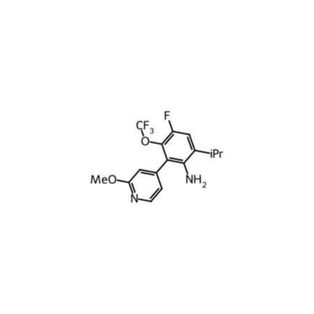 COc1cc(-c2c(N)c(C(C)C)cc(F)c2OC(F)(F)F)ccn1